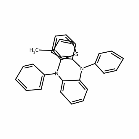 Cc1ccsc1N(c1ccccc1)c1ccccc1N(c1ccccc1)c1ccccc1